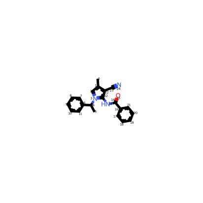 Cc1cn(C(C)c2ccccc2)c(NC(=O)c2ccccc2)c1C#N